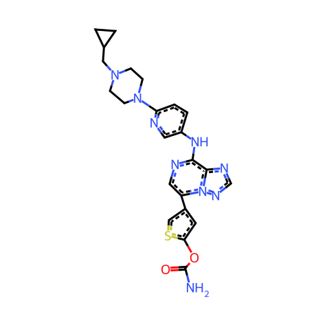 NC(=O)Oc1cc(-c2cnc(Nc3ccc(N4CCN(CC5CC5)CC4)nc3)c3ncnn23)cs1